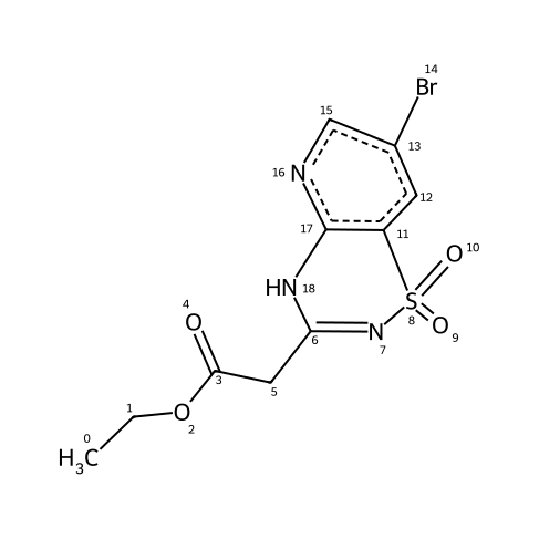 CCOC(=O)CC1=NS(=O)(=O)c2cc(Br)cnc2N1